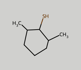 CC1CCCC(C)C1S